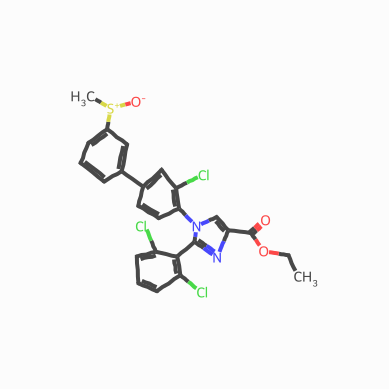 CCOC(=O)c1cn(-c2ccc(-c3cccc([S+](C)[O-])c3)cc2Cl)c(-c2c(Cl)cccc2Cl)n1